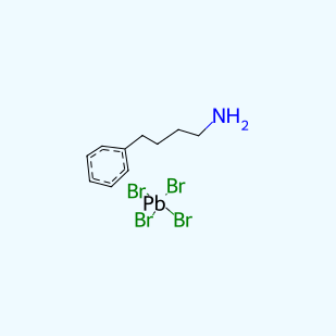 NCCCCc1ccccc1.[Br][Pb]([Br])([Br])[Br]